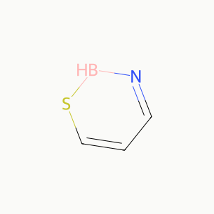 B1N=CC=CS1